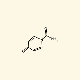 NC(=O)n1ccc(=O)cc1